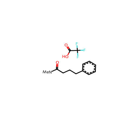 CNC(=O)CCCc1ccccc1.O=C(O)C(F)(F)F